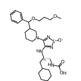 COCCCOC(c1ccccc1)C1CCCN(c2n[s+]([O-])nc2N[C@H](CNC(=O)O)CC2CCCCC2)C1